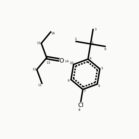 CC(C)(C)c1ccc(Cl)cc1.CCC(=O)CC